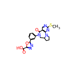 CSc1ncc2c(n1)N1CCCC1CN(c1cccc(-c3nnc(C(=O)O)o3)c1)C2=O